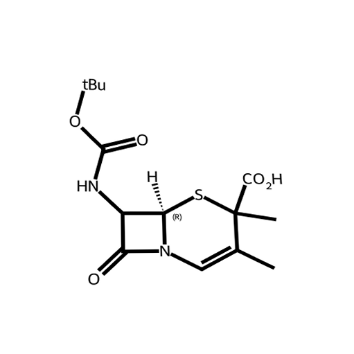 CC1=CN2C(=O)C(NC(=O)OC(C)(C)C)[C@H]2SC1(C)C(=O)O